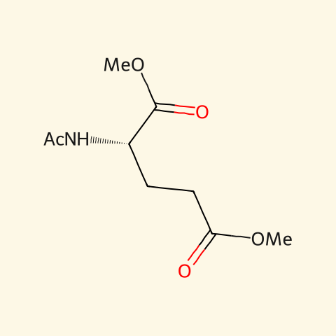 COC(=O)CC[C@H](NC(C)=O)C(=O)OC